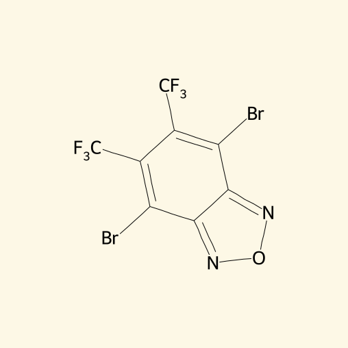 FC(F)(F)c1c(C(F)(F)F)c(Br)c2nonc2c1Br